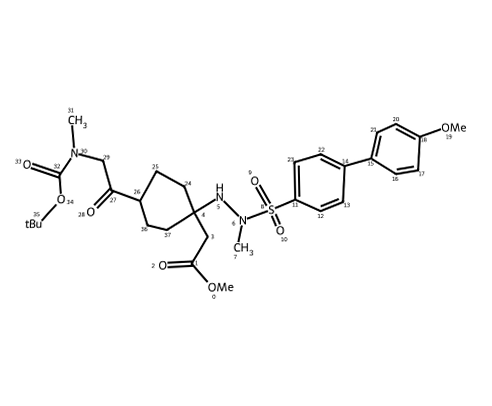 COC(=O)CC1(NN(C)S(=O)(=O)c2ccc(-c3ccc(OC)cc3)cc2)CCC(C(=O)CN(C)C(=O)OC(C)(C)C)CC1